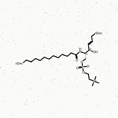 CCCCCCCCCCC/C=C/[C@@H](O)[C@H](COP(=O)([O-])OCC[N+](C)(C)C)NC(=O)CCCCCCCCCCCCCCCCCCCCC